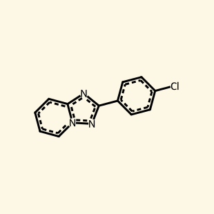 Clc1ccc(-c2nc3ccccn3n2)cc1